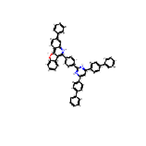 c1ccc(-c2ccc(-c3cc(-c4ccc(-c5ccccc5)cc4)nc(-c4ccc(-c5nc6cc(-c7ccccc7)ccc6c6oc7ccccc7c56)cc4)n3)cc2)cc1